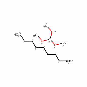 CCCCCCCCCCCCCCCCCC(=O)O.CCC[O][Ti]([O]CCC)[O]CCC